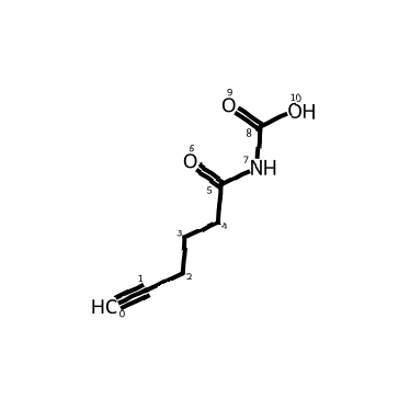 C#CCCCC(=O)NC(=O)O